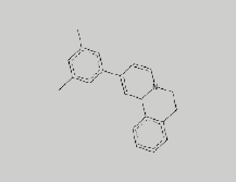 Cc1cc(C)cc(C2=CC3c4ccccc4CCN3C=C2)c1